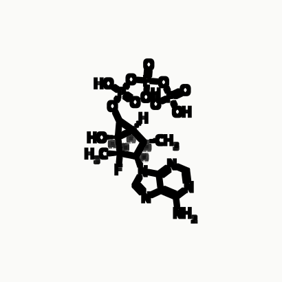 C[C@@H]1[C@@H](n2cnc3c(N)ncnc32)[C@](C)(F)[C@@]2(O)C(OP(=O)(O)OP(=O)(O)OP(=O)(O)O)[C@@H]12